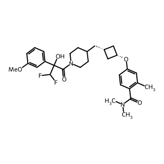 COc1cccc(C(O)(C(=O)N2CCC(C[C@H]3C[C@@H](Oc4ccc(C(=O)N(C)C)c(C)c4)C3)CC2)C(F)F)c1